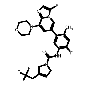 Cc1cc(F)c(NC(=O)N2CC=C(CC(F)(F)F)C2)cc1-c1cc(N2CCOCC2)c2ncc(F)n2c1